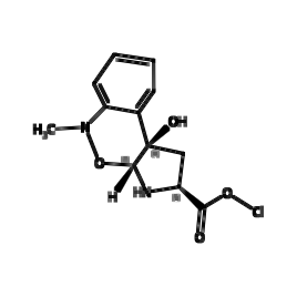 CN1O[C@H]2N[C@H](C(=O)OCl)C[C@@]2(O)c2ccccc21